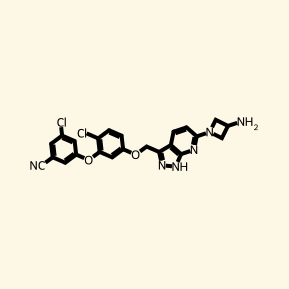 N#Cc1cc(Cl)cc(Oc2cc(OCc3n[nH]c4nc(N5CC(N)C5)ccc34)ccc2Cl)c1